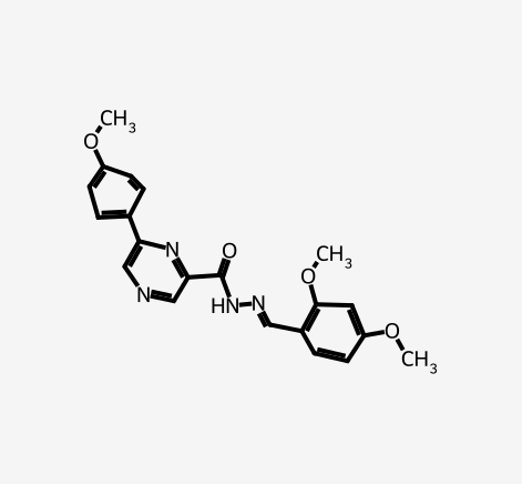 COc1ccc(-c2cncc(C(=O)NN=Cc3ccc(OC)cc3OC)n2)cc1